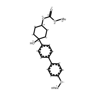 CCCCCCOc1ccc(-c2ccc(C3(O)CCC(OC(=O)OCCCC)CC3)cc2)cc1